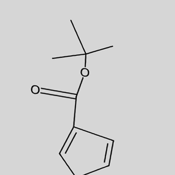 CC(C)(C)OC(=O)C1=CCC=C1